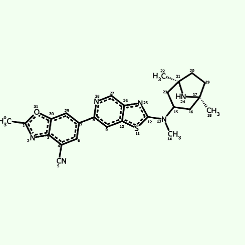 Cc1nc2c(C#N)cc(-c3cc4sc(N(C)C5C[C@]6(C)CC[C@](C)(C5)N6)nc4cn3)cc2o1